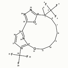 CC1(C(F)(F)F)CCCCCCOc2nc(ccc2C(F)(F)F)-c2nnc1o2